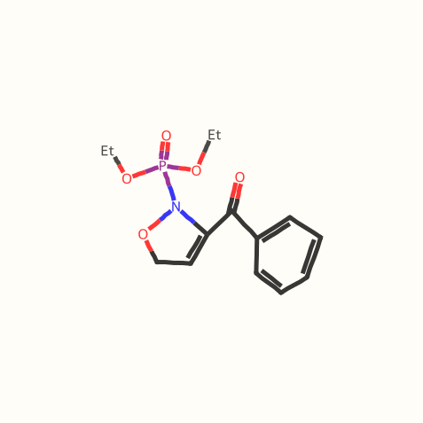 CCOP(=O)(OCC)N1OCC=C1C(=O)c1ccccc1